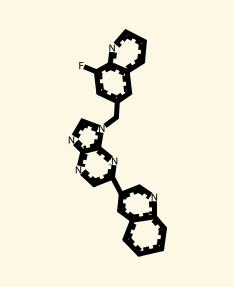 Fc1cc(Cn2cnc3ncc(-c4cnc5ccccc5c4)nc32)cc2cccnc12